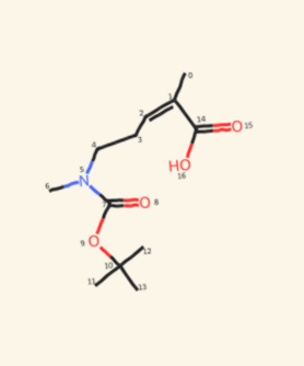 CC(=CCCN(C)C(=O)OC(C)(C)C)C(=O)O